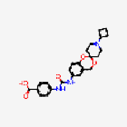 O=C(Nc1ccc(C(=O)O)cc1)Nc1ccc2c(c1)COC1(CCN(C3CCC3)CC1)O2